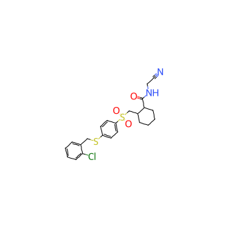 N#CCNC(=O)C1CCCCC1CS(=O)(=O)c1ccc(SCc2ccccc2Cl)cc1